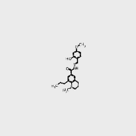 CCCc1cc(C(=O)N/N=C/c2ccc(OC)cc2O)cc2c1N(C)CCC2